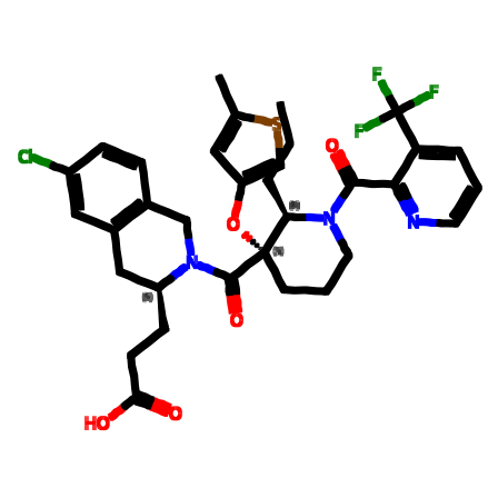 CCC[C@H]1N(C(=O)c2ncccc2C(F)(F)F)CCC[C@@]1(Oc1csc(C)c1)C(=O)N1Cc2ccc(Cl)cc2C[C@@H]1CCC(=O)O